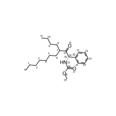 CCCCCCCC(CCCC)C(=O)[C@@H](NC(=O)OC)c1ccccc1